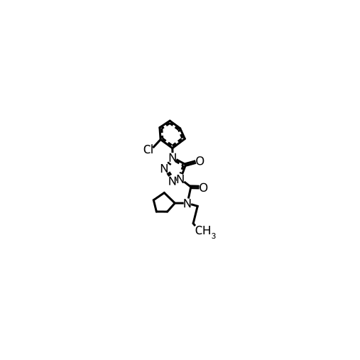 CCCN(C(=O)n1nnn(-c2ccccc2Cl)c1=O)C1CCCC1